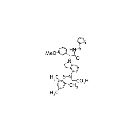 COc1cccc(C(C(=O)NSc2cccs2)N2CCc3c(N(CC(=O)O)Sc4c(C)cc(C)cc4C)cccc32)c1